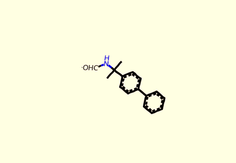 CC(C)(N[C]=O)c1ccc(-c2ccccc2)cc1